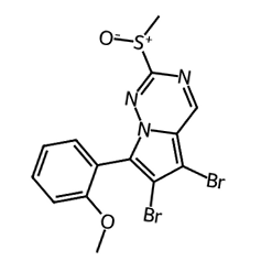 COc1ccccc1-c1c(Br)c(Br)c2cnc([S+](C)[O-])nn12